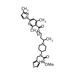 CONC(=O)N(Cc1ccsc1)C1CCN(C(C)CCNC(=O)c2c(C)cc(-n3ccc(C)n3)nc2C)CC1